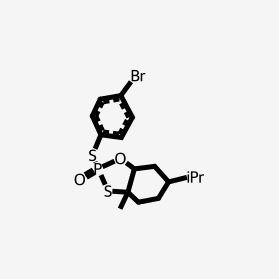 CC(C)C1CCC2(C)SP(=O)(Sc3ccc(Br)cc3)OC2C1